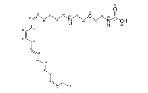 CC/C=C\CC=CCC=CC/C=C\C/C=C\CCCCNCCOCCNC(=O)O